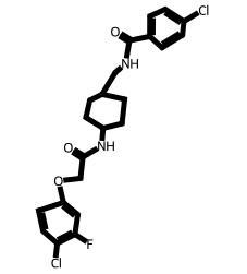 O=C(COc1ccc(Cl)c(F)c1)NC1CCC(CNC(=O)c2ccc(Cl)cc2)CC1